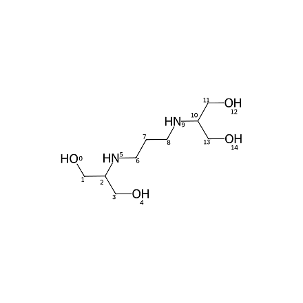 OCC(CO)NCCCNC(CO)CO